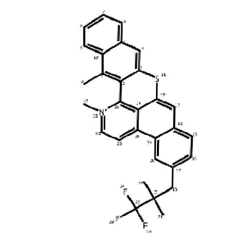 Cc1c2c(cc3ccccc13)Sc1cc3ccc(CC(C)(C)C(F)(F)F)cc3c3cc[n+](C)c-2c13